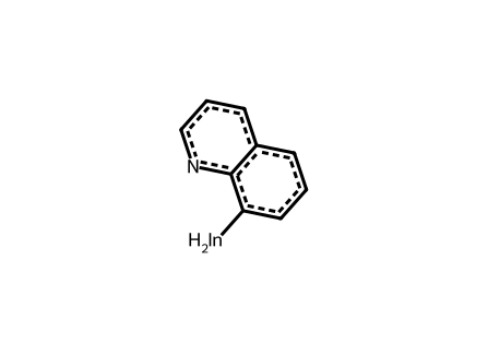 [InH2][c]1cccc2cccnc12